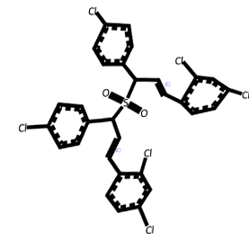 O=S(=O)(C(/C=C/c1ccc(Cl)cc1Cl)c1ccc(Cl)cc1)C(/C=C/c1ccc(Cl)cc1Cl)c1ccc(Cl)cc1